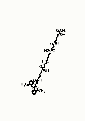 C=Cc1ccccc1N(Cc1ccccc1CC)C(=O)CCC(=O)NCCCCCN(O)C(=O)CCC(=O)NCCCCCN(O)C(=O)CCC(=O)NCCCCCN(O)C(C)=O